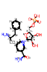 NC(=O)c1ccc[n+]([C@@H]2O[C@H](COP(=O)([O-])O)[C@@H](O)[C@H]2O)c1.NC(Cc1ccccc1)C(=O)O